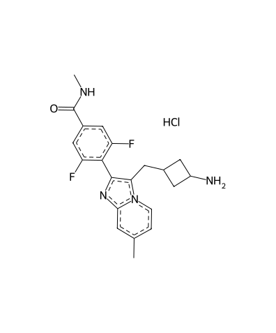 CNC(=O)c1cc(F)c(-c2nc3cc(C)ccn3c2CC2CC(N)C2)c(F)c1.Cl